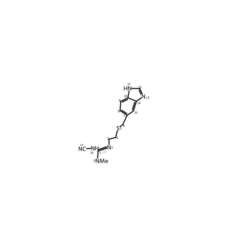 CN/C(=N/CCSCc1ccc2[nH]cnc2c1)NC#N